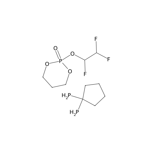 O=P1(OC(F)C(F)F)OCCCO1.PC1(P)CCCC1